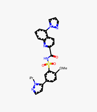 COc1ccc(-c2ccnn2C(C)C)cc1S(=O)(=O)NC(=O)c1ccc2c(-n3cccn3)cccc2n1